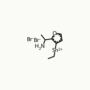 C[CH2][Sn+2][c]1ccoc1C(C)N.[Br-].[Br-]